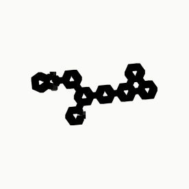 c1ccc(-c2cc(-c3ccc(-c4ccc5c6ccccc6c6ccccc6c5c4)cc3)cc(-c3cccc(-c4nc5ccccc5o4)c3)c2)nc1